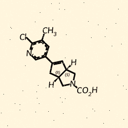 Cc1cc(C2=C[C@@H]3CN(C(=O)O)C[C@@H]3C2)cnc1Cl